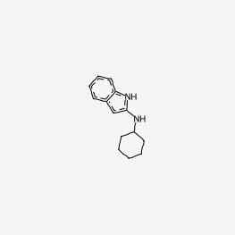 c1ccc2[nH]c(NC3CCCCC3)cc2c1